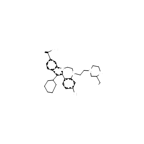 CCC1CN(CCN2CCn3c(c(C4CCCCC4)c4ccc(C(=O)O)cc43)-c3ccc(Cl)cc32)CCO1